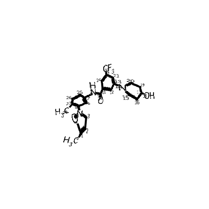 CC1=CCN(c2cc(NC(=O)c3cc(N4CCC(O)CC4)cc(C(F)(F)F)c3)ccc2C)O1